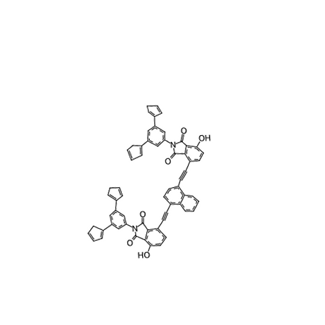 O=C1c2c(O)ccc(C#Cc3ccc(C#Cc4ccc(O)c5c4C(=O)N(c4cc(C6=CCC=C6)cc(C6=CC=CC6)c4)C5=O)c4ccccc34)c2C(=O)N1c1cc(C2=CCC=C2)cc(C2=CC=CC2)c1